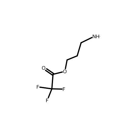 [NH]CCCOC(=O)C(F)(F)F